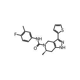 Cc1cc(NC(=O)N2Cc3c(-c4cccs4)n[nH]c3C[C@H]2C)ccc1F